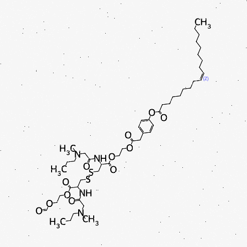 CCCCCCCC/C=C\CCCCCCCC(=O)Oc1ccc(CC(=O)OCCOC(=O)C(CSSCC(NC(=O)CN(C)CCC)C(=O)OCCOC=O)NC(=O)CN(C)CCC)cc1